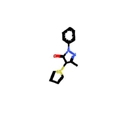 CC1=NN(c2ccccc2)C(=O)C1[SH]1C=CC=C1